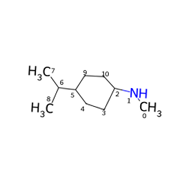 CNC1CCC(C(C)C)CC1